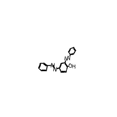 Oc1ccc(N=Nc2ccccc2)cc1N=Nc1ccccc1